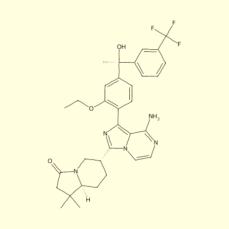 CCOc1cc([C@@](C)(O)c2cccc(C(F)(F)F)c2)ccc1-c1nc([C@@H]2CC[C@@H]3N(C2)C(=O)CC3(C)C)n2ccnc(N)c12